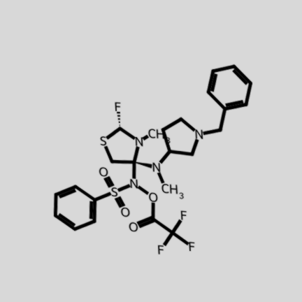 CN(C1CCN(Cc2ccccc2)C1)[C@@]1(N(OC(=O)C(F)(F)F)S(=O)(=O)c2ccccc2)CS[C@H](F)N1C